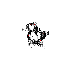 C[SH](c1cccc(CCC(=O)N2CCN(CC3CCN(CCO)CC3)CC2)n1)c1nc(N)c(C#N)c(-c2ccc(CC(=O)NOC(=O)/C=C\C(=O)ONC(=O)Cc3ccc(-c4nc([SH](C)c5cccc(CCC(=O)N6CCN(CC7CCN(CCO)CC7)CC6)n5)nc(N)c4C#N)cc3)cc2)n1